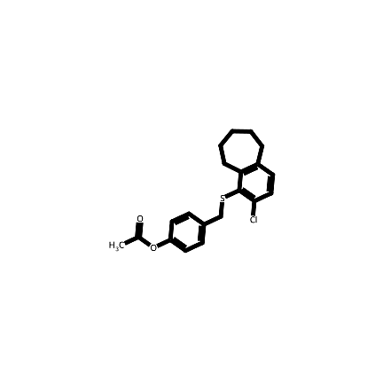 CC(=O)Oc1ccc(CSc2c(Cl)ccc3c2CCCCC3)cc1